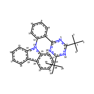 CC(C)(C)c1nc(-c2ccccc2-n2c3ccccc3c3ccccc32)nc(C(C)(C)C)n1